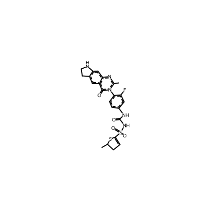 Cc1nc2cc3c(cc2c(=O)n1-c1ccc(NC(=O)NS(=O)(=O)C2=CCC(C)S2)cc1F)CCN3